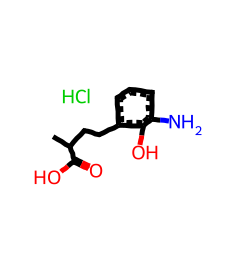 CC(CCc1cccc(N)c1O)C(=O)O.Cl